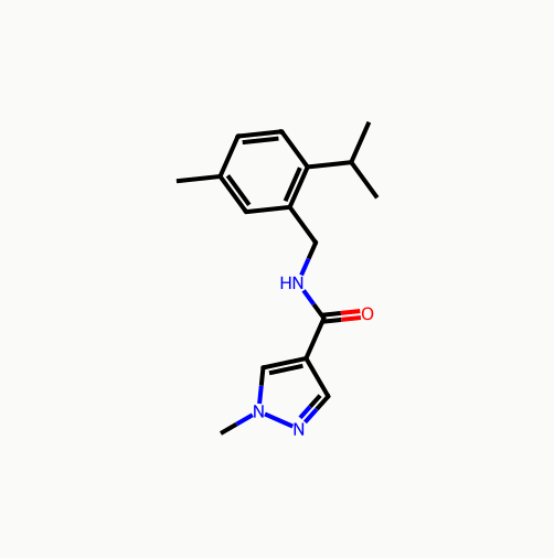 Cc1ccc(C(C)C)c(CNC(=O)c2cnn(C)c2)c1